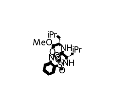 COC(=O)[C@H](CC(C)C)NC(=O)[C@H](CC(C)C)NS(=O)(=O)c1ccccc1[N+](=O)[O-]